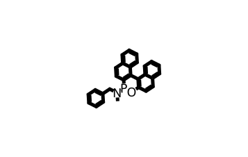 CN(Cc1ccccc1)P1Oc2ccc3ccccc3c2-c2c1ccc1ccccc21